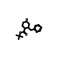 CC(C)(C)OC(=O)N1CCNCC1Cc1ccncn1